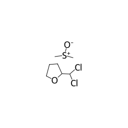 C[S+](C)[O-].ClC(Cl)C1CCCO1